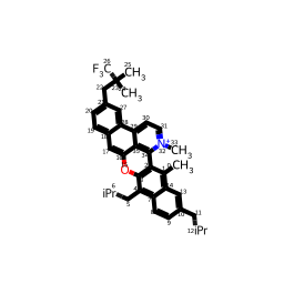 Cc1c2c(c(CC(C)C)c3ccc(CC(C)C)cc13)Oc1cc3ccc(CC(C)(C)C(F)(F)F)cc3c3cc[n+](C)c-2c13